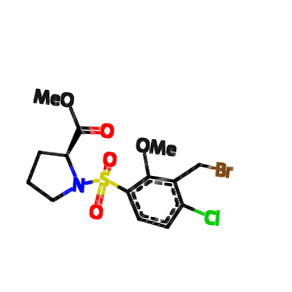 COC(=O)[C@@H]1CCCN1S(=O)(=O)c1ccc(Cl)c(CBr)c1OC